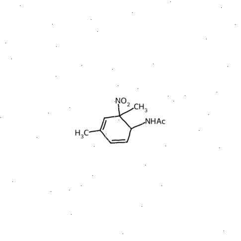 CC(=O)NC1C=CC(C)=CC1(C)[N+](=O)[O-]